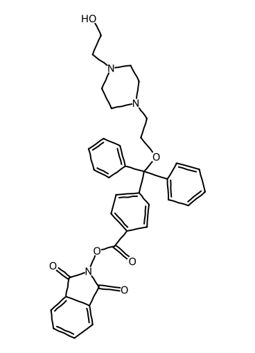 O=C(ON1C(=O)c2ccccc2C1=O)c1ccc(C(OCCN2CCN(CCO)CC2)(c2ccccc2)c2ccccc2)cc1